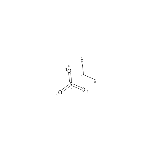 CCF.O=S(=O)=[1O]